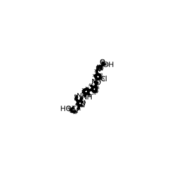 Cc1c(Nc2nccc3cc(CN4CC[C@H](O)C4)cnc23)cccc1-c1cccc(-c2nc3cc(CN4CC(C(=O)O)C4)cc(Cl)c3o2)c1C